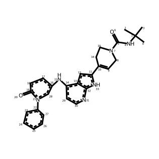 CC(C)(C)NC(=O)N1CC=C(c2cc3c(Nc4ccc(=O)n(-c5ccccc5)c4)ccnc3[nH]2)CC1